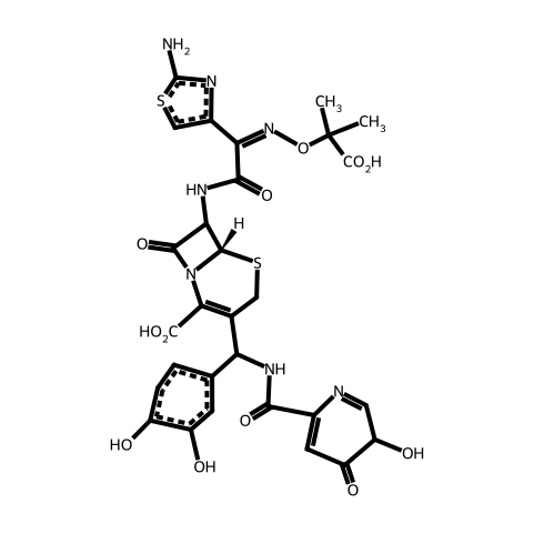 CC(C)(O/N=C(\C(=O)NC1C(=O)N2C(C(=O)O)=C(C(NC(=O)C3=CC(=O)C(O)C=N3)c3ccc(O)c(O)c3)CS[C@@H]12)c1csc(N)n1)C(=O)O